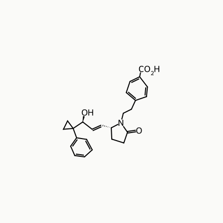 O=C(O)c1ccc(CCN2C(=O)CC[C@@H]2/C=C/[C@H](O)C2(c3ccccc3)CC2)cc1